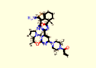 C=CC(=O)N1[C@H](C)CN(c2cc(-c3noc([C@@]4(C)CCCc5sc(N)c(C#N)c54)n3)nc(O[C@@H](C)[C@@H]3CCCN3C)n2)C[C@H]1C